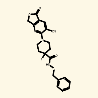 N#Cc1cc2c(nc1N1CCC(F)(C(=O)NSCc3ccccc3)CC1)COC2=O